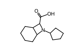 O=C(O)C1C2CCCCC2N1C1CCCC1